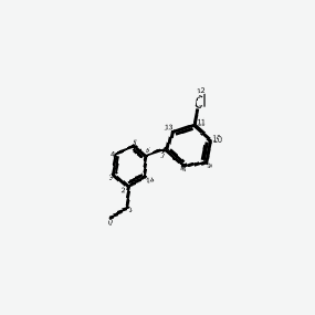 CCc1cccc(-c2cccc(Cl)c2)c1